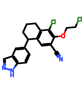 N#Cc1cc2c(c(Cl)c1OCCCl)CCCC2c1ccc2[nH]ncc2c1